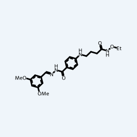 CCONC(=O)CCCNc1ccc(C(=O)N/N=C/c2cc(OC)cc(OC)c2)cc1